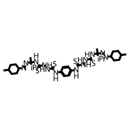 CC1CCC(N=NC(C)(NC(=S)NNC(=S)Nc2ccc(NC(=S)NNC(=S)NC(C)(N=NC3CCC(C)CC3)C(C)C)cc2)C(C)C)CC1